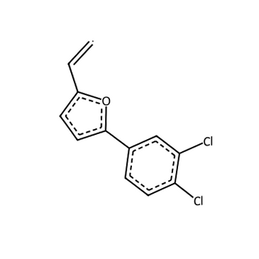 [CH]=Cc1ccc(-c2ccc(Cl)c(Cl)c2)o1